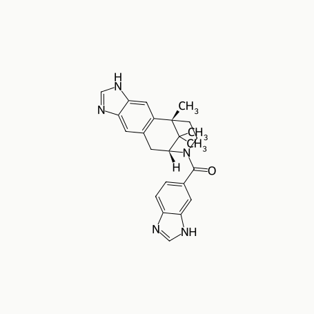 CC1(C)[C@H]2Cc3cc4nc[nH]c4cc3[C@]1(C)CCN2C(=O)c1ccc2nc[nH]c2c1